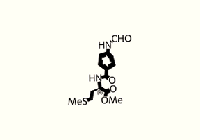 COC(=O)[C@@H](CCSC)NC(=O)c1ccc(NC=O)cc1